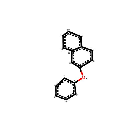 c1ccc(Oc2ccc3ccccc3c2)cc1